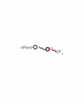 CCCCC[C@H]1CC[C@H](CCCCc2ccc(OCCCC(F)(F)F)cc2)CC1